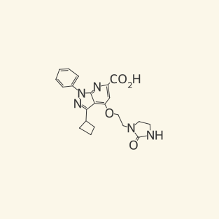 O=C(O)c1cc(OCCN2CCNC2=O)c2c(C3CCC3)nn(-c3ccccc3)c2n1